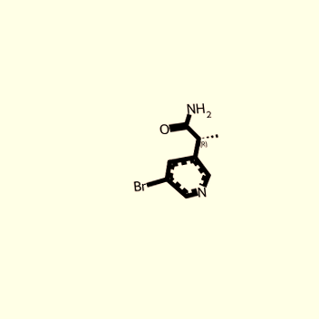 C[C@@H](C(N)=O)c1cncc(Br)c1